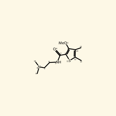 COc1c(C(=O)NCCN(C)C)sc(C)c1C